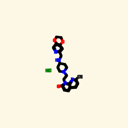 Cl.N#Cc1ccc2ccc(=O)n(CCN3CCC(NCc4cc5c(cn4)OCCO5)CC3)c2n1